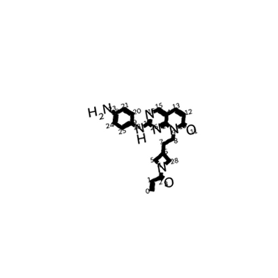 C=CC(=O)N1CC(CCn2c(=O)ccc3cnc(Nc4ccc(N)cc4)nc32)C1